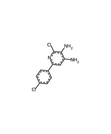 Nc1cc(-c2ccc(Cl)cc2)nc(Cl)c1N